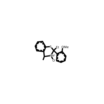 CCC1(c2ccccc2OC)Sc2ccccc2C(C)[NH+]1[O-]